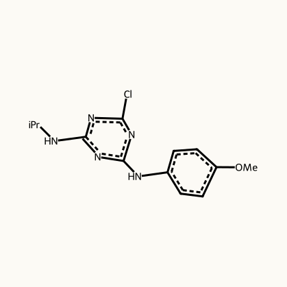 COc1ccc(Nc2nc(Cl)nc(NC(C)C)n2)cc1